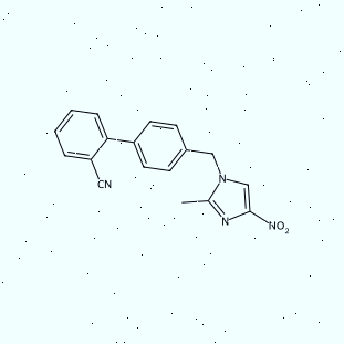 Cc1nc([N+](=O)[O-])cn1Cc1ccc(-c2ccccc2C#N)cc1